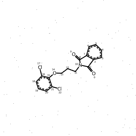 O=C1c2ccccc2C(=O)N1CCCOc1c(Cl)cccc1Cl